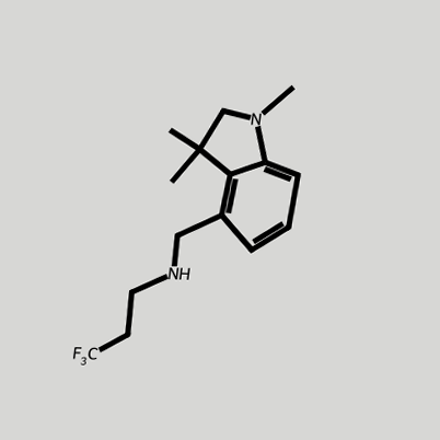 CN1CC(C)(C)c2c(CNCCC(F)(F)F)cccc21